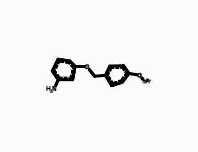 CCCOc1ccc(COc2cccc(N)c2)cc1